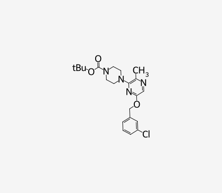 Cc1ncc(OCc2cccc(Cl)c2)nc1N1CCN(C(=O)OC(C)(C)C)CC1